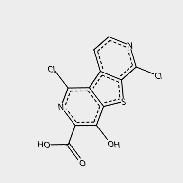 O=C(O)c1nc(Cl)c2c(sc3c(Cl)nccc32)c1O